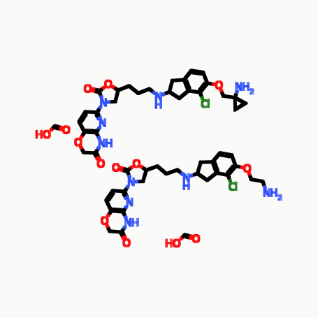 NC1(COc2ccc3c(c2Cl)CC(NCCCC2CN(c4ccc5c(n4)NC(=O)CO5)C(=O)O2)C3)CC1.NCCOc1ccc2c(c1Cl)CC(NCCCC1CN(c3ccc4c(n3)NC(=O)CO4)C(=O)O1)C2.O=CO.O=CO